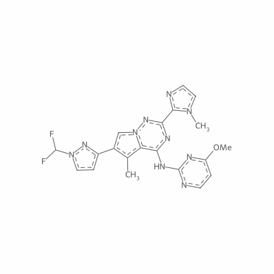 COc1ccnc(Nc2nc(-c3nccn3C)nn3cc(-c4ccn(C(F)F)n4)c(C)c23)n1